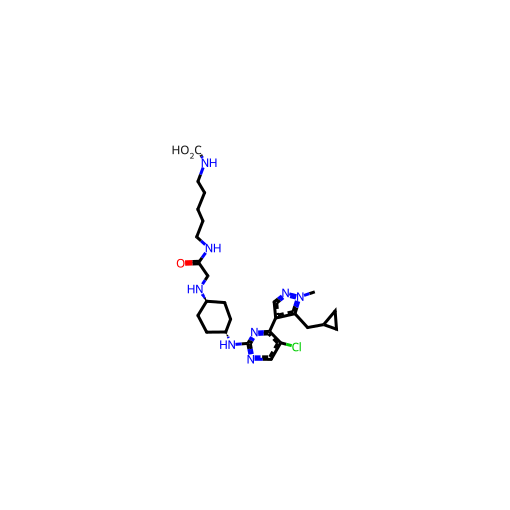 Cn1ncc(-c2nc(N[C@H]3CC[C@H](NCC(=O)NCCCCCNC(=O)O)CC3)ncc2Cl)c1CC1CC1